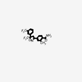 Cc1cc(C2=NO[C@@](c3cccc(C(F)(F)F)c3)(C(F)(F)F)C2)ccc1C(N)=O